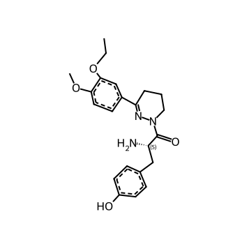 CCOc1cc(C2=NN(C(=O)[C@@H](N)Cc3ccc(O)cc3)CCC2)ccc1OC